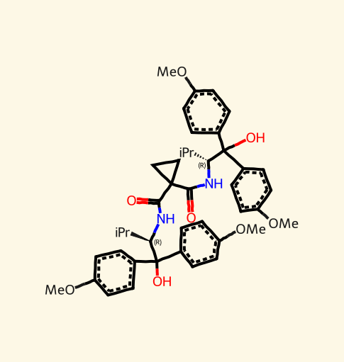 COc1ccc(C(O)(c2ccc(OC)cc2)[C@H](NC(=O)C2(C(=O)N[C@H](C(C)C)C(O)(c3ccc(OC)cc3)c3ccc(OC)cc3)CC2)C(C)C)cc1